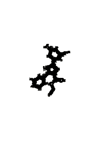 CCOC(=O)c1cc(-c2cc(F)cc(F)c2)[nH]c1-c1ccccc1